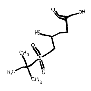 CC(C)(C)S(=O)(=O)CC(S)CC(=O)O